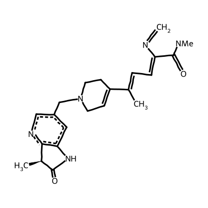 C=N/C(=C\C=C(/C)C1=CCN(Cc2cnc3c(c2)NC(=O)[C@H]3C)CC1)C(=O)NC